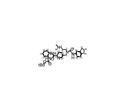 CN(C)CCCN(Cc1ccc(C(=O)Nc2ccccc2NC(=O)OC(C)(C)C)nc1)C(=O)Nc1ccc2c(c1)CCC2